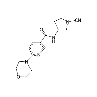 N#CN1CCC(NC(=O)c2ccc(N3CCOCC3)nc2)C1